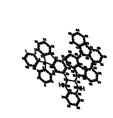 c1ccc(C2(c3ccccc3)c3ccccc3-c3ccc(C4Nc5ccccc5NC4n4c5cccc6c7cccc8c9ccccc9n(c9cccc4c9c65)c78)cc32)cc1